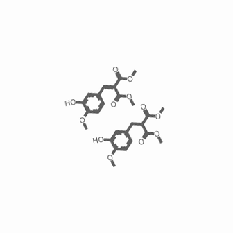 COC(=O)C(=Cc1ccc(OC)c(O)c1)C(=O)OC.COC(=O)C(Cc1ccc(OC)c(O)c1)C(=O)OC